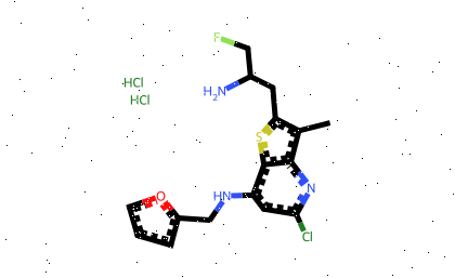 Cc1c(CC(N)CF)sc2c(NCc3ccco3)cc(Cl)nc12.Cl.Cl